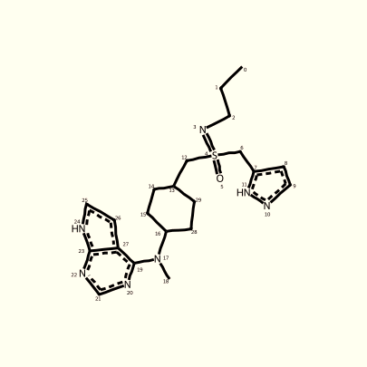 CCCN=S(=O)(Cc1ccn[nH]1)CC1CCC(N(C)c2ncnc3[nH]ccc23)CC1